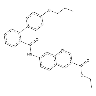 CCCOc1ccc(-c2ccccc2C(=O)Nc2ccc3cc(C(=O)OCC)cnc3c2)cc1